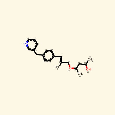 C/C(=C\c1ccc(Cc2cccnc2)cc1)COC(C)CC(C)O